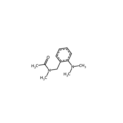 CC(=O)N(C)Cc1ccccc1N(C)C